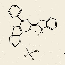 CCN1/C(=C2/C=C(c3ccccc3)c3sc4ccccc4[n+]3C2)Sc2ccccc21.[O-][Cl+3]([O-])([O-])[O-]